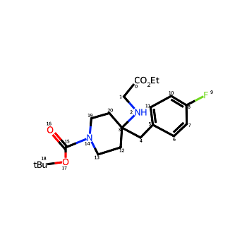 CCOC(=O)CNC1(Cc2ccc(F)cc2)CCN(C(=O)OC(C)(C)C)CC1